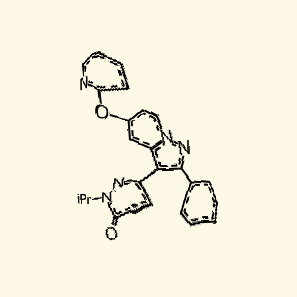 CC(C)n1nc(-c2c(-c3ccccc3)nn3ccc(Oc4ccccn4)cc23)ccc1=O